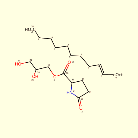 CCCCCCCCC=CCCCCCCCC(=O)O.O=C1CCC(C(=O)OCC(O)CO)N1